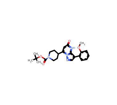 COc1ccccc1-c1cnn2c(C3CCN(C(=O)OC(C)(C)C)CC3)cc(=O)[nH]c12